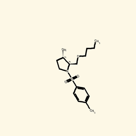 CCCCOC[C@@H]1[C@@H](O)CCN1S(=O)(=O)c1ccc(C)cc1